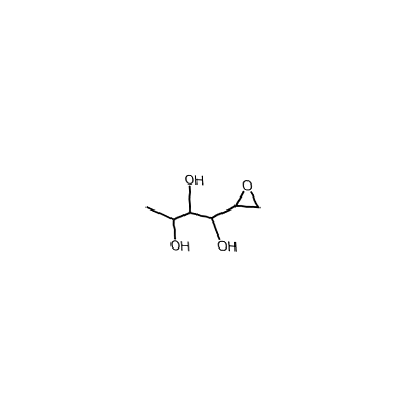 CC(O)C(O)C(O)C1CO1